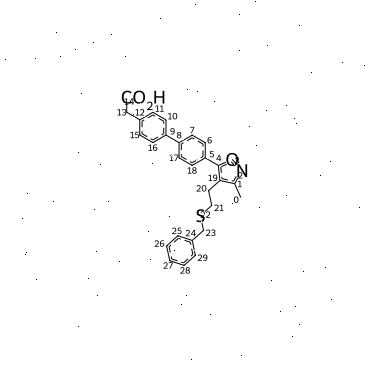 Cc1noc(-c2ccc(-c3ccc(CC(=O)O)cc3)cc2)c1CCSCc1ccccc1